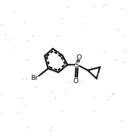 O=S(=O)(c1cccc(Br)c1)C1CC1